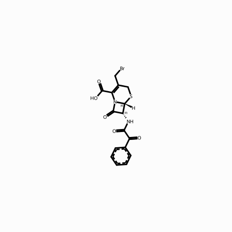 O=C(O)C1=C(CBr)CS[C@@H]2[C@H](NC(=O)C(=O)c3ccccc3)C(=O)N12